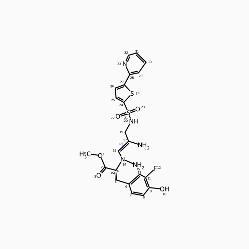 COC(=O)[C@H](Cc1ccc(O)c(F)c1)N(N)/C=C(\N)CNS(=O)(=O)c1ccc(-c2ccccn2)s1